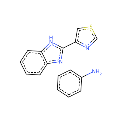 Nc1ccccc1.c1ccc2[nH]c(-c3cscn3)nc2c1